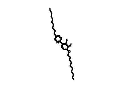 CCCCCCCCCCOc1ccc(-c2ncc(CCCCCCCCCC)cn2)c(F)c1F